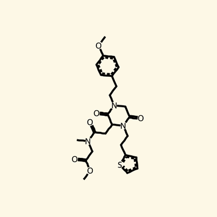 COC(=O)CN(C)C(=O)CC1C(=O)N(CCc2ccc(OC)cc2)CC(=O)N1CCc1cccs1